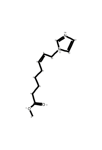 COC(=O)CCCC/C=C\Cn1ccnc1